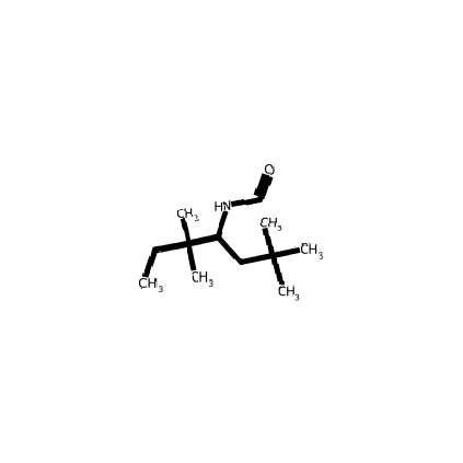 CCC(C)(C)C(CC(C)(C)C)NC=O